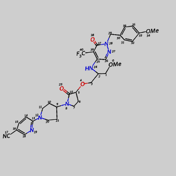 COCC(COC1CCN(C2CCN(c3ccc(C#N)cn3)CC2)C1=O)Nc1cnn(Cc2ccc(OC)cc2)c(=O)c1C(F)(F)F